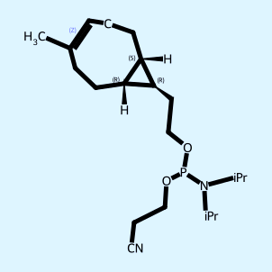 C/C1=C/CC[C@@H]2[C@@H](CCOP(OCCC#N)N(C(C)C)C(C)C)[C@@H]2CC1